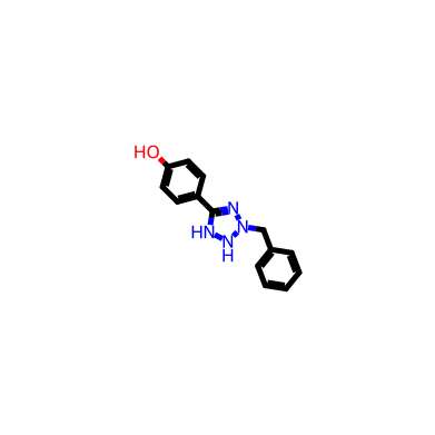 Oc1ccc(C2=NN(Cc3ccccc3)NN2)cc1